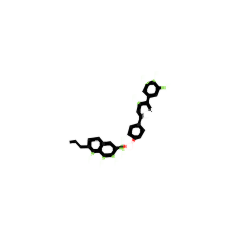 CCCc1ccc2cc(C(F)(F)Oc3ccc(-c4ccc(-c5cc(F)c(F)c(F)c5)c(F)c4)cc3)c(F)c(F)c2c1F